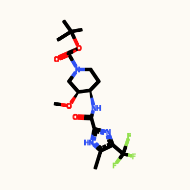 CO[C@H]1CN(C(=O)OC(C)(C)C)CC[C@H]1NC(=O)c1nc(C(F)(F)F)c(C)[nH]1